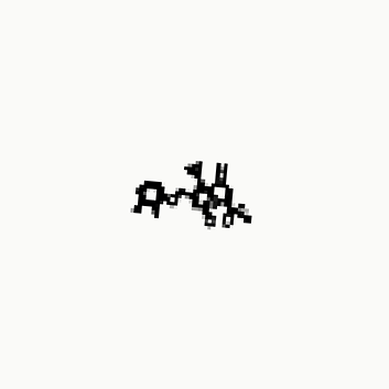 COC(=O)C1CNc2c(C3CC3)c(COc3cccc(C)c3C)cc(=O)n21